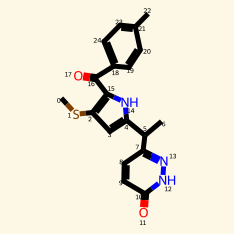 CSc1cc(C(C)c2ccc(=O)[nH]n2)[nH]c1C(=O)c1ccc(C)cc1